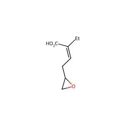 CCC(=CCC1CO1)C(=O)O